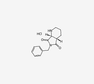 Cl.O=C1[C@H]2CCCN[C@H]2C(=O)N1Cc1ccccc1